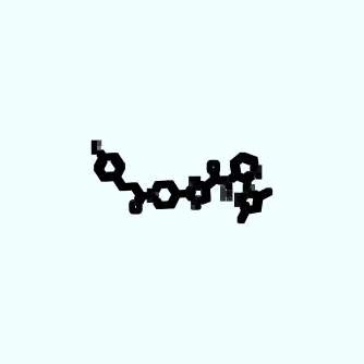 Cc1cc(C)n(-c2ncccc2NC(=O)c2csc(C3CCN(C(=O)CCc4ccc(F)cc4)CC3)n2)n1